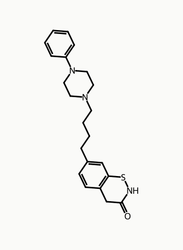 O=C1Cc2ccc(CCCCN3CCN(c4ccccc4)CC3)cc2SN1